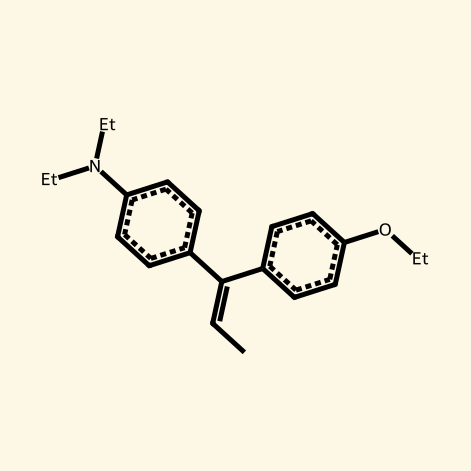 C/C=C(\c1ccc(OCC)cc1)c1ccc(N(CC)CC)cc1